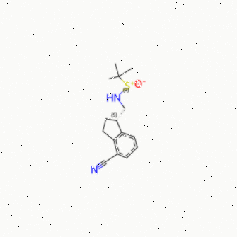 CC(C)(C)[S@+]([O-])NC[C@H]1CCc2c(C#N)cccc21